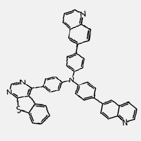 c1cnc2ccc(-c3ccc(N(c4ccc(-c5ccc6ncccc6c5)cc4)c4ccc(-c5ncnc6sc7ccccc7c56)cc4)cc3)cc2c1